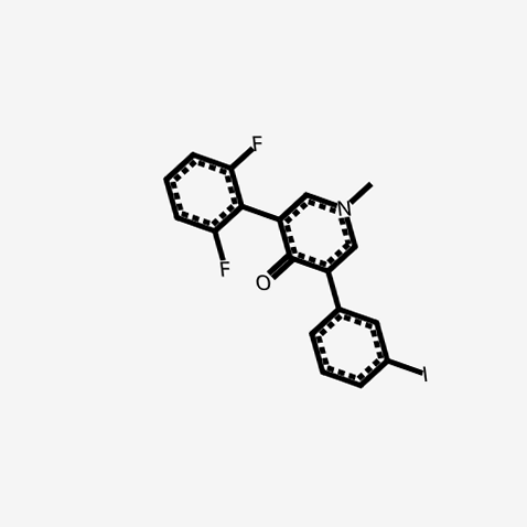 Cn1cc(-c2cccc(I)c2)c(=O)c(-c2c(F)cccc2F)c1